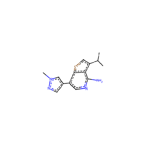 CC(C)c1csc2c(-c3cnn(C)c3)cnc(N)c12